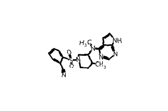 CC1CCN(S(=O)(=O)c2ccccc2C#N)CC1N(C)c1ncnc2[nH]ccc12